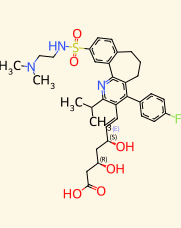 CC(C)c1nc2c(c(-c3ccc(F)cc3)c1/C=C/[C@@H](O)C[C@@H](O)CC(=O)O)CCCc1ccc(S(=O)(=O)NCCN(C)C)cc1-2